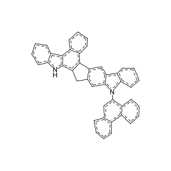 c1ccc2c(c1)cc(-n1c3ccccc3c3cc4c(cc31)Cc1c-4c3ccccc3c3c1[nH]c1ccccc13)c1ccccc12